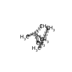 CCCCCCCC(CCCCCC)(CCCCCC)CCCCCCC.CCCCCCCCCCCCCCCCC